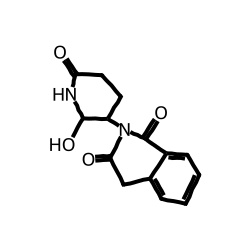 O=C1CCC(N2C(=O)Cc3ccccc3C2=O)C(O)N1